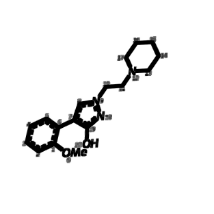 COc1ccccc1-c1cn(CCN2CCCCC2)nc1O